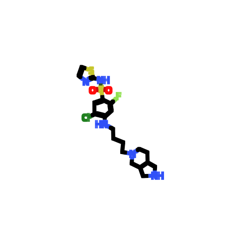 O=S(=O)(Nc1nccs1)c1cc(Cl)c(NCCCCN2CCC3CNCC3C2)cc1F